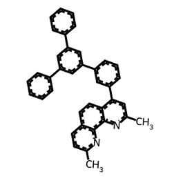 Cc1ccc2ccc3c(-c4cccc(-c5cc(-c6ccccc6)cc(-c6ccccc6)c5)c4)cc(C)nc3c2n1